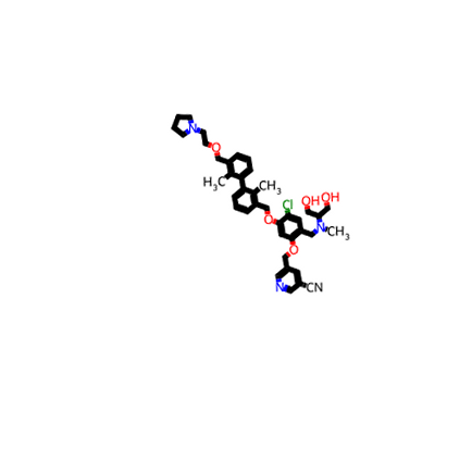 Cc1c(COCCN2CCCC2)cccc1-c1cccc(COc2cc(OCc3cncc(C#N)c3)c(CN(C)C(CO)CO)cc2Cl)c1C